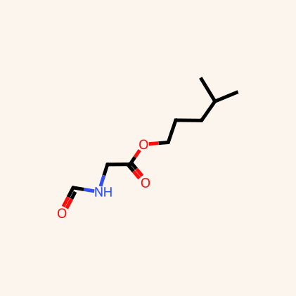 CC(C)CCCOC(=O)CNC=O